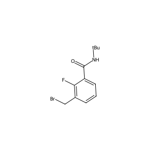 CC(C)(C)NC(=O)c1cccc(CBr)c1F